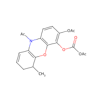 CC(=O)OC(=O)Oc1c(OC(C)=O)ccc2c1OC1=C(C=CCC1C)N2C(C)=O